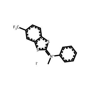 C[N+](c1ccccc1)=c1sc2ccc(C(F)(F)F)cc2s1.[I-]